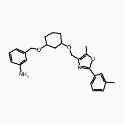 Cc1cccc(-c2nc(COC3CCCC(OCc4cccc(N)c4)C3)c(C)o2)c1